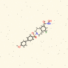 COc1ccc(-c2ccc(S(=O)(=O)N3CCc4cc(C(=O)NO)cc(F)c4CC3)cc2)cc1